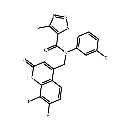 Cc1nnsc1C(=O)N(Cc1cc(=O)[nH]c2c(F)c(F)ccc12)c1cccc(Cl)c1